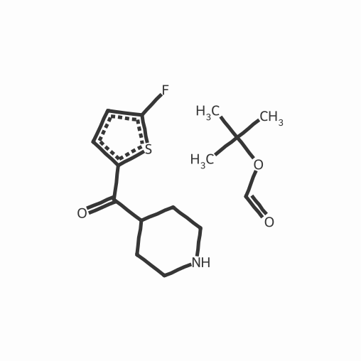 CC(C)(C)OC=O.O=C(c1ccc(F)s1)C1CCNCC1